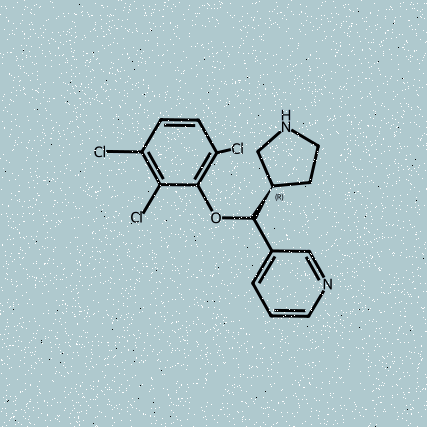 Clc1ccc(Cl)c(OC(c2cccnc2)[C@@H]2CCNC2)c1Cl